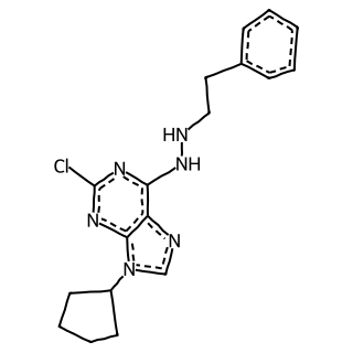 Clc1nc(NNCCc2ccccc2)c2ncn(C3CCCC3)c2n1